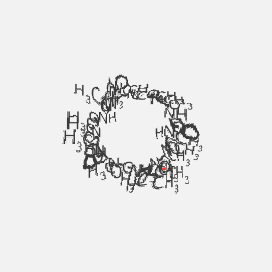 CC[C@H](C)[C@H]1C(=O)NCC(=O)N(C)[C@@H](Cc2ccccc2)C(=O)N[C@@H]([C@@H](C)O)C(=O)N(C)[C@@H](C)C(=O)N[C@@H](CC(C)C)C(=O)N[C@H](C(=O)N2CCCCC2)CC(=O)N(C)CCC(=O)N(C)[C@@H](C)C(=O)N[C@@H](Cc2ccccc2)C(=O)N[C@@H](C(C)C)C(=O)N(C)[C@@H](CC(C)C)C(=O)N1C